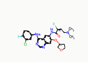 CN(C)C/C=C(/F)C(=O)Nc1cc2c(Nc3ccc(F)c(Cl)c3)ncnc2cc1O[C@H]1CCOC1